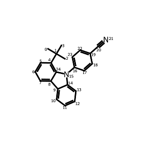 CC(C)(C)c1cccc2c3ccccc3n(-c3ccc(C#N)cc3)c12